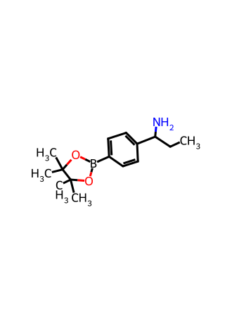 CCC(N)c1ccc(B2OC(C)(C)C(C)(C)O2)cc1